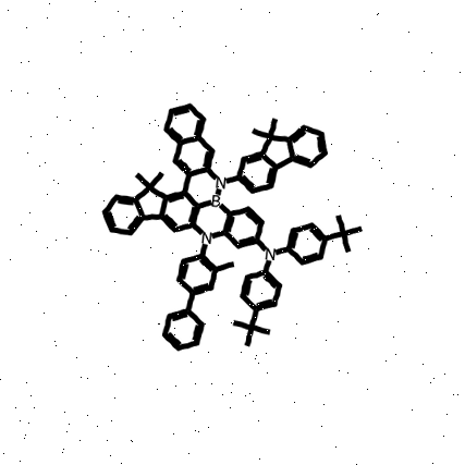 Cc1cc(-c2ccccc2)ccc1N1c2cc(N(c3ccc(C(C)(C)C)cc3)c3ccc(C(C)(C)C)cc3)ccc2B2c3c1cc1c(c3-c3cc4ccccc4cc3N2c2ccc3c(c2)C(C)(C)c2ccccc2-3)C(C)(C)c2ccccc2-1